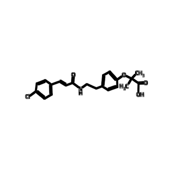 CC(C)(Oc1ccc(CCNC(=O)C=Cc2ccc(Cl)cc2)cc1)C(=O)O